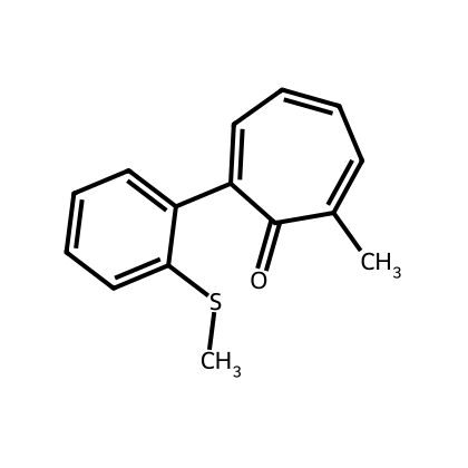 CSc1ccccc1-c1ccccc(C)c1=O